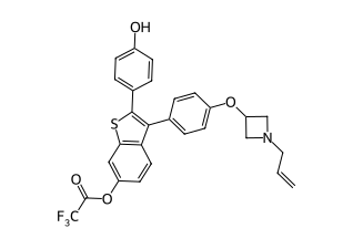 C=CCN1CC(Oc2ccc(-c3c(-c4ccc(O)cc4)sc4cc(OC(=O)C(F)(F)F)ccc34)cc2)C1